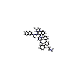 C=C/C(=C\C=C(/C)N(C(/C=C\C/C=C/C1=CC=CCCC1c1cc(-c2ccccc2)ccc1NC/C=C\C)=C/C)c1ccccc1C(/C=C\CC)=C/C)c1ccc2ccccc2c1